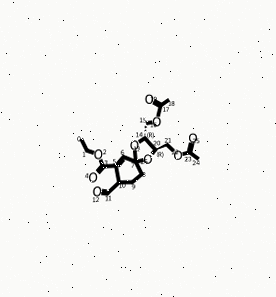 CCOC(=O)C1=CC2(CCC1C=O)O[C@H](COC(C)=O)[C@@H](COC(C)=O)O2